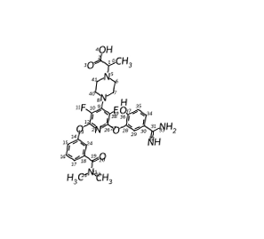 CC(C(=O)O)N1CCN(c2c(F)c(Oc3cccc(C(=O)N(C)C)c3)nc(Oc3cc(C(=N)N)ccc3O)c2F)CC1